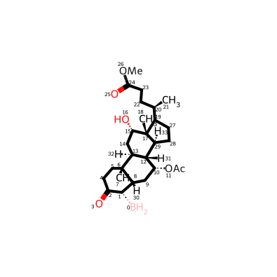 B[C@@H]1C(=O)CC[C@@]2(C)[C@@H]1C[C@@H](OC(C)=O)[C@@H]1[C@@H]2C[C@H](O)[C@]2(C)C([C@H](C)CCC(=O)OC)CC[C@@H]12